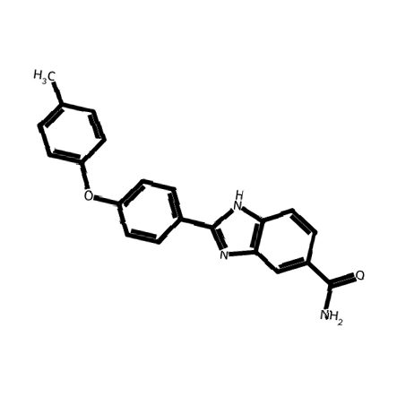 Cc1ccc(Oc2ccc(-c3nc4cc(C(N)=O)ccc4[nH]3)cc2)cc1